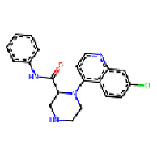 O=C(Nc1ccccc1)C1CNCCN1c1ccnc2cc(Cl)ccc12